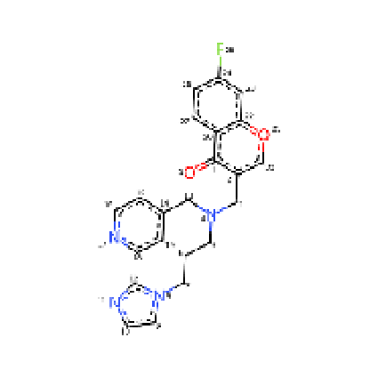 O=c1c(CN(CCCn2ccnc2)Cc2ccncc2)coc2cc(F)ccc12